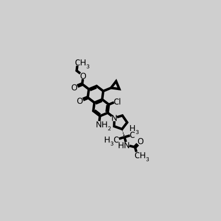 CCOC(=O)C1=CC(C2CC2)c2c(cc(N)c(N3CC[C@H](C(C)(C)NC(C)=O)C3)c2Cl)C1=O